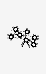 N#Cc1cc(N(c2ccccc2)c2ccc3c(c2)c2ccccc2n3-c2ccccc2)cc(-n2c3ccccc3c3ccccc32)c1C#N